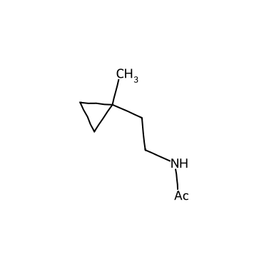 CC(=O)NCCC1(C)CC1